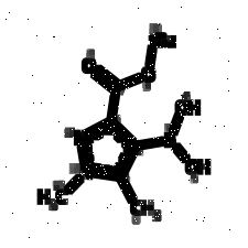 Cc1c(B(O)O)c(C(=O)OC(C)(C)C)nn1C